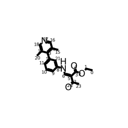 CCOC(=O)C(=CNc1cccc(-c2c(C)cncc2C)c1)C(C)=O